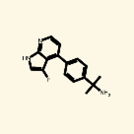 CC(C)(N)c1ccc(-c2ccnc3[nH]cc(F)c23)cc1